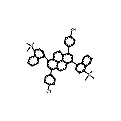 C[Si](C)(C)c1ccc(-c2cc(-c3ccc(C#N)cc3)c3ccc4c(-c5ccc([Si](C)(C)C)c6ccccc56)cc(-c5ccc(C#N)cc5)c5ccc2c3c54)c2ccccc12